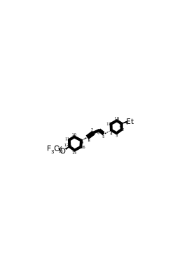 CC[C@H]1CC[C@H](/C=C/C#C[C@H]2CC[C@H](OC(F)(F)F)CC2)CC1